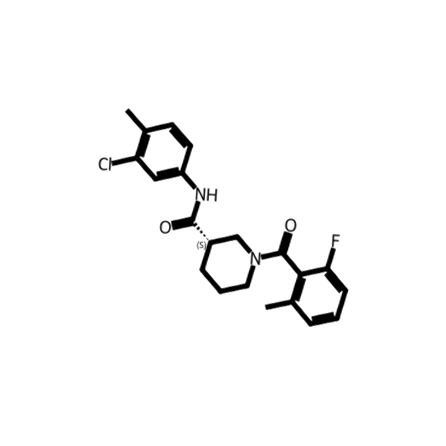 Cc1ccc(NC(=O)[C@H]2CCCN(C(=O)c3c(C)cccc3F)C2)cc1Cl